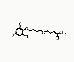 Oc1cc(Cl)c(OCCCCOCCC=C(Cl)C(F)(F)F)c(Cl)c1